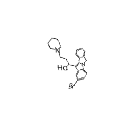 OC(CCN1CCCCC1)c1c2n(c3ccc(Br)cc13)Cc1ccccc1-2